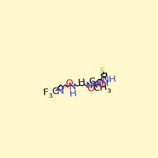 Cc1[nH]c(C=C2C(=O)Nc3ccc(F)cc32)c(C)c1C(=O)NCCCCCCNC(=O)/C=C/c1ccc(C(F)(F)F)nc1